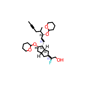 CC#CCC(C)[C@@H](/C=C/[C@@H]1[C@H]2C/C(=C(/F)CO)C[C@H]2C[C@H]1OC1CCCCO1)OC1CCCCO1